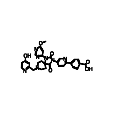 COc1cc(N2C(=O)N(c3ccc(-c4ccc(C(=O)O)cc4)nc3)C(=O)C23CCN(Cc2cc(O)ccn2)CC3)ncn1